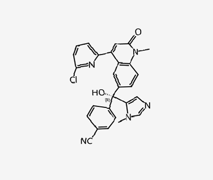 Cn1cncc1[C@@](O)(c1ccc(C#N)cc1)c1ccc2c(c1)c(-c1cccc(Cl)n1)cc(=O)n2C